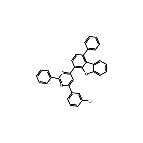 Clc1cccc(-c2cc(-c3ccc(-c4ccccc4)c4c3oc3ccccc34)nc(-c3ccccc3)n2)c1